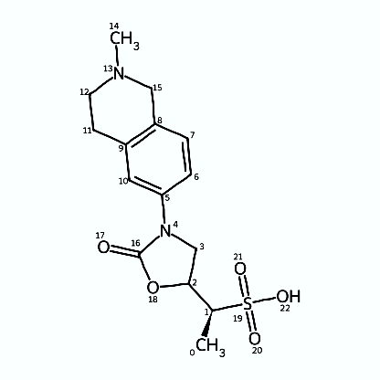 C[C@@H](C1CN(c2ccc3c(c2)CCN(C)C3)C(=O)O1)S(=O)(=O)O